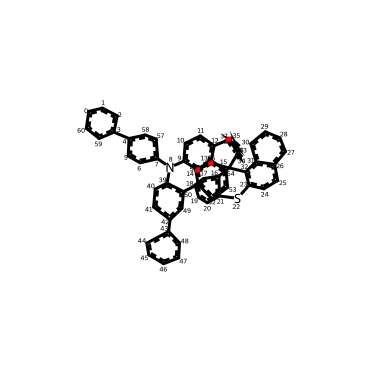 c1ccc(-c2ccc(N(c3ccc4c(c3)C3(c5ccccc5Sc5ccc6ccccc6c53)c3ccccc3-4)c3ccc(-c4ccccc4)cc3-c3ccccc3)cc2)cc1